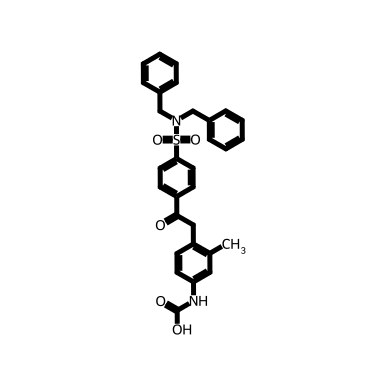 Cc1cc(NC(=O)O)ccc1CC(=O)c1ccc(S(=O)(=O)N(Cc2ccccc2)Cc2ccccc2)cc1